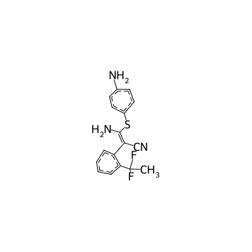 CC(F)(F)c1ccccc1/C(C#N)=C(\N)Sc1ccc(N)cc1